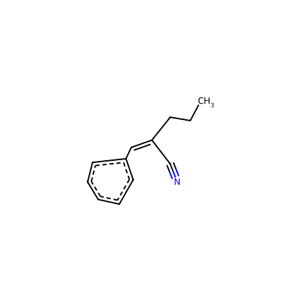 CCCC(C#N)=Cc1ccccc1